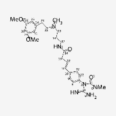 CNC(=O)N(C(=N)N)c1ccc(/C=C/CC(=O)NCCCN(C)CCc2cc(OC)cc(OC)c2)cc1